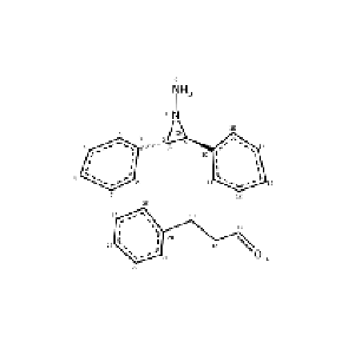 NN1[C@@H](c2ccccc2)[C@@H]1c1ccccc1.O=CCCc1ccccc1